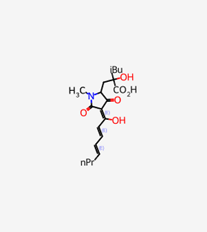 CCC/C=C/C=C/C(O)=C1/C(=O)C(CC(O)(C(=O)O)C(C)CC)N(C)C1=O